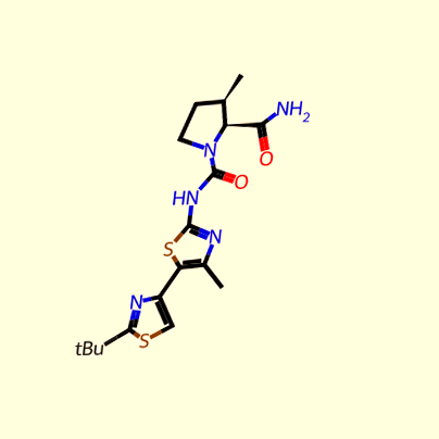 Cc1nc(NC(=O)N2CC[C@@H](C)[C@H]2C(N)=O)sc1-c1csc(C(C)(C)C)n1